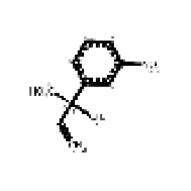 C=C[C@](C)(C(=O)O)c1cccc([N+](=O)[O-])c1